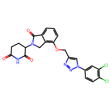 O=C1CCC(N2Cc3c(OCc4cn(-c5ccc(Cl)c(Cl)c5)nn4)cccc3C2=O)C(=O)N1